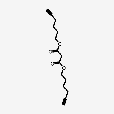 C#CCCCCOC(=O)CC(=O)OCCCCC#C